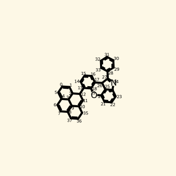 C1=CC2C3C(=C1)C=CC1=C3C(=CC2c2cccc3c2Oc2cccc4c2C3C(c2ccccc2)=N4)CC=C1